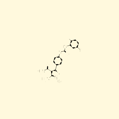 CC(C)(C)n1nc(-c2ccc(NC(=O)Nc3cc(F)ccc3F)cc2)c(C(N)=O)c1N